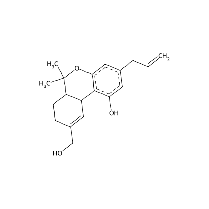 C=CCc1cc(O)c2c(c1)OC(C)(C)C1CCC(CO)=CC21